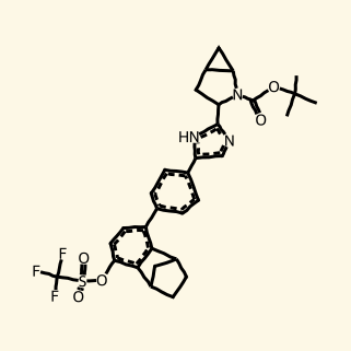 CC(C)(C)OC(=O)N1C(c2ncc(-c3ccc(-c4ccc(OS(=O)(=O)C(F)(F)F)c5c4C4CCC5C4)cc3)[nH]2)CC2CC21